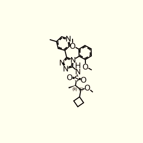 COc1cccc(OC)c1-n1c(NS(=O)(=O)[C@H](C)[C@@H](OC)C2CCC2)nnc1-c1cncc(C)c1